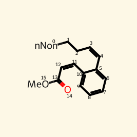 CCCCCCCCCCC/C=C\c1ccccc1C=CC(=O)OC